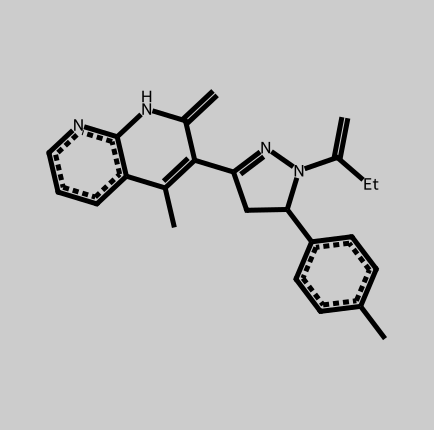 C=C1Nc2ncccc2C(C)=C1C1=NN(C(=C)CC)C(c2ccc(C)cc2)C1